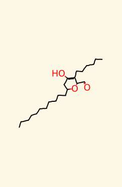 CCCCCCCCCCCC1CC(O)=C(CCCCCC)C(C=O)O1